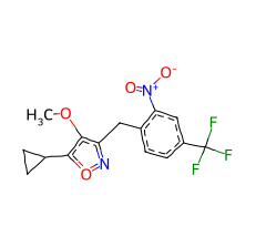 COc1c(Cc2ccc(C(F)(F)F)cc2[N+](=O)[O-])noc1C1CC1